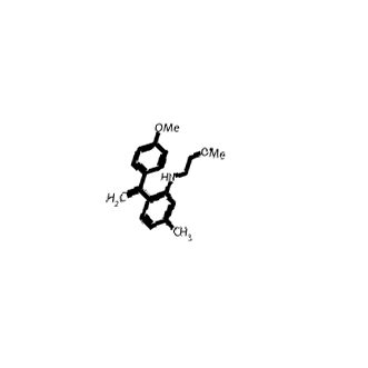 C=C(c1ccc(OC)cc1)c1ccc(C)cc1NCCOC